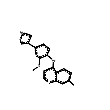 COc1nc(-c2cn[nH]c2)ccc1Nc1ccnc2cc(C)ccc12